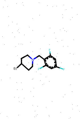 CCC1CCN(Cc2c(F)cc(F)cc2F)CC1